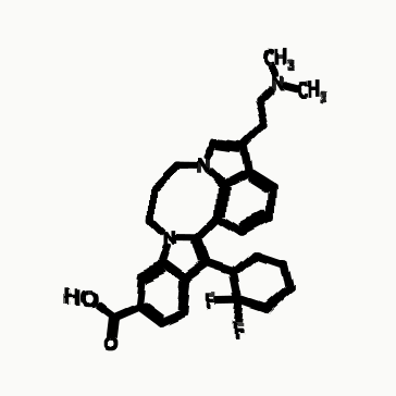 CN(C)CCc1cn2c3c(cccc13)-c1c(C3CCCCC3(F)F)c3ccc(C(=O)O)cc3n1CCC2